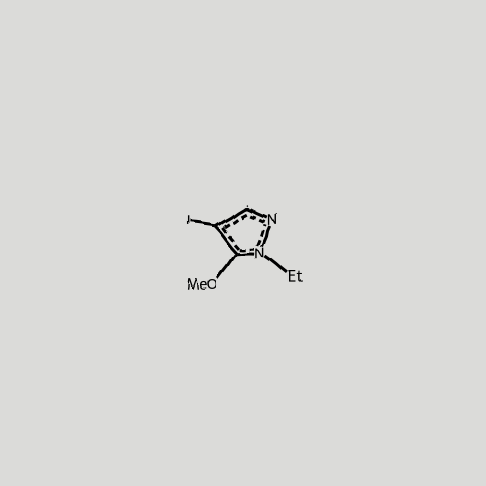 CCn1n[c]c(I)c1OC